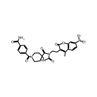 CCN(CC)c1ccc2c(C)c(CCN3C(=O)NC4(CCN(C(=O)c5ccc(C(N)=O)cc5)CC4)C3=O)c(=O)oc2c1